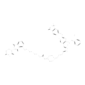 CC1(C)OC(=O)c2ccc(Nc3ncc(-c4nnc(CCCN5CCN(CC(=O)NCCCCCNc6cccc7c6C(=O)N(C6CCC(=O)NC6=O)C7=O)CC5)o4)c(N[C@H](CO)c4ccccc4)n3)cc21